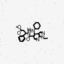 CCn1ncc2c(NC3CCCCC3)c(C(=O)NC(CC(=O)OC)c3ccccc3)cnc21